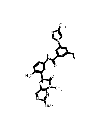 CNc1ncc2nc(-c3cc(NC(=O)c4cc(CF)cc(-n5cnc(C)c5)c4)ccc3C)c(=O)n(C)c2n1